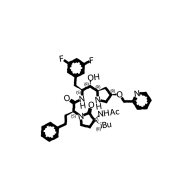 CC[C@@H](C)[C@@]1(NC(C)=O)CCN([C@@H](CCc2ccccc2)C(=O)N[C@@H](Cc2cc(F)cc(F)c2)[C@H](O)[C@H]2C[C@@H](OCc3ccccn3)CN2)C1=O